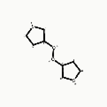 C1CC(OOC2CCSC2)CS1